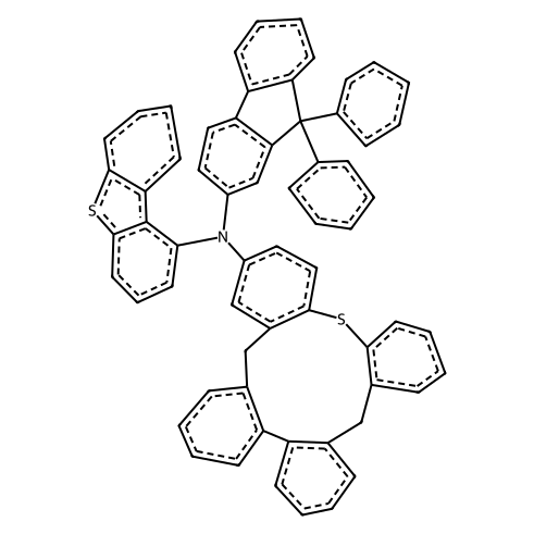 c1ccc(C2(c3ccccc3)c3ccccc3-c3ccc(N(c4ccc5c(c4)Cc4ccccc4-c4ccccc4Cc4ccccc4S5)c4cccc5sc6ccccc6c45)cc32)cc1